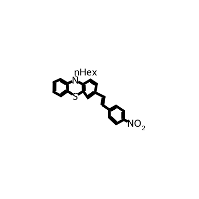 CCCCCCN1c2ccccc2Sc2cc(C=Cc3ccc([N+](=O)[O-])cc3)ccc21